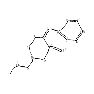 COCC1CCC(=Cc2ccccc2)C(=O)C1